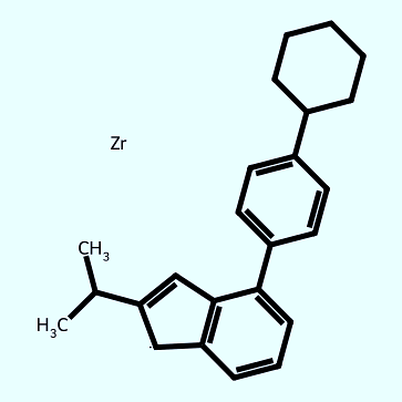 CC(C)C1=Cc2c(cccc2-c2ccc(C3CCCCC3)cc2)[CH]1.[Zr]